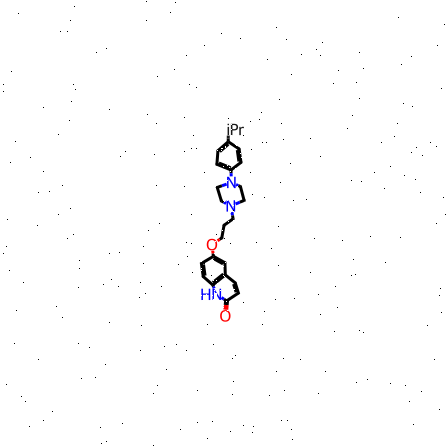 CC(C)c1ccc(N2CCN(CCCOc3ccc4[nH]c(=O)ccc4c3)CC2)cc1